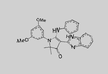 COc1cc(OC)cc(N2C(Nc3ccccc3)=C(c3nc4ccccc4[nH]3)C(=O)C2(C)C)c1